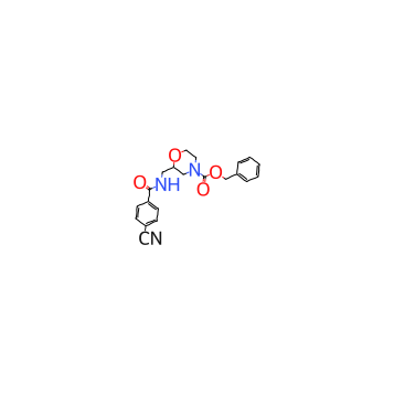 N#Cc1ccc(C(=O)NCC2CN(C(=O)OCc3ccccc3)CCO2)cc1